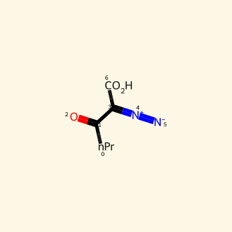 CCCC(=O)C(=[N+]=[N-])C(=O)O